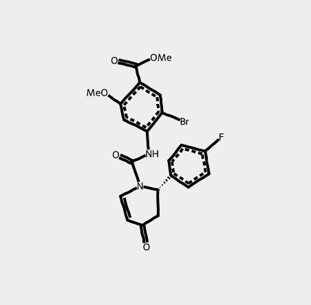 COC(=O)c1cc(Br)c(NC(=O)N2C=CC(=O)C[C@H]2c2ccc(F)cc2)cc1OC